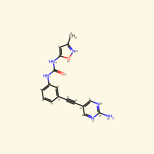 Cc1cc(NC(=O)Nc2cccc(C#Cc3cnc(N)nc3)c2)on1